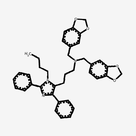 CCCCn1c(-c2ccccc2)nc(-c2ccccc2)c1CCCN(Cc1ccc2c(c1)OCO2)Cc1ccc2c(c1)OCO2